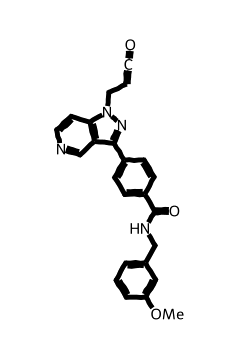 COc1cccc(CNC(=O)c2ccc(-c3nn(CC=C=O)c4ccncc34)cc2)c1